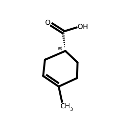 CC1=CC[C@H](C(=O)O)CC1